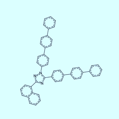 c1ccc(-c2ccc(-c3ccc(-c4nc(-c5cccc6ccccc56)nn4-c4ccc(-c5ccc(-c6ccccc6)cc5)cc4)cc3)cc2)cc1